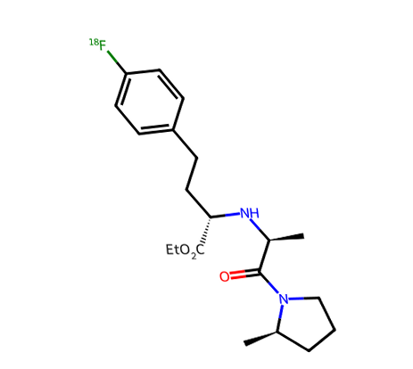 CCOC(=O)[C@H](CCc1ccc([18F])cc1)N[C@@H](C)C(=O)N1CCC[C@H]1C